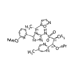 CCCO[C@@H](c1ncc(C)cn1)[C@H](C)S(=O)(=O)Nc1nnc(-c2cccc(OC)n2)n1[C@H](C)c1ccno1